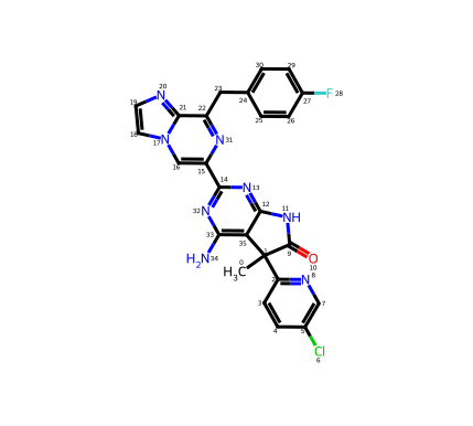 CC1(c2ccc(Cl)cn2)C(=O)Nc2nc(-c3cn4ccnc4c(Cc4ccc(F)cc4)n3)nc(N)c21